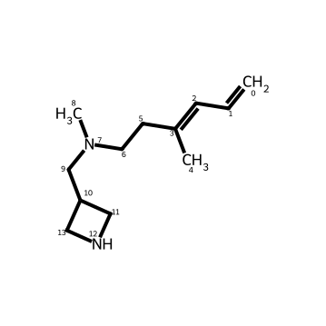 C=C/C=C(\C)CCN(C)CC1CNC1